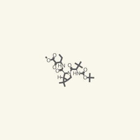 CCC(NC(=O)[C@@H]1[C@@H]2C(CN1C(=O)[C@@H](NC(=O)OC(C)(C)C)C(C)(C)C)C2(C)C)C(=O)C(=O)OC